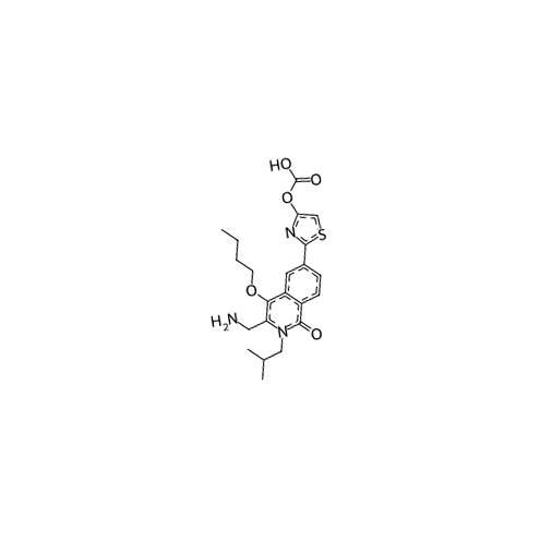 CCCCOc1c(CN)n(CC(C)C)c(=O)c2ccc(-c3nc(OC(=O)O)cs3)cc12